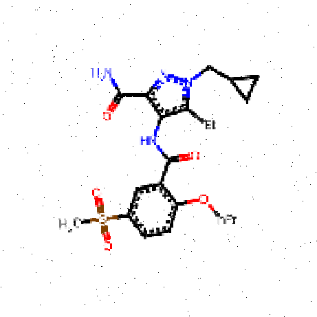 CCCOc1ccc(S(C)(=O)=O)cc1C(=O)Nc1c(C(N)=O)nn(CC2CC2)c1CC